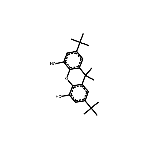 CC(C)(C)c1cc(O)c2c(c1)C(C)(C)c1cc(C(C)(C)C)cc(O)c1O2